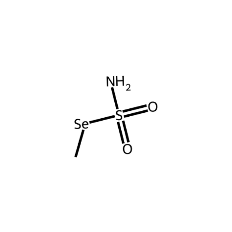 C[Se]S(N)(=O)=O